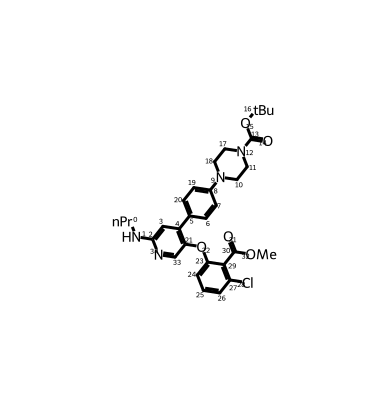 CCCNc1cc(-c2ccc(N3CCN(C(=O)OC(C)(C)C)CC3)cc2)c(Oc2cccc(Cl)c2C(=O)OC)cn1